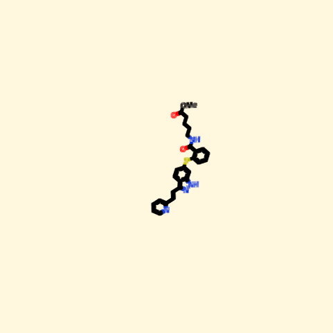 COC(=O)CCCCNC(=O)c1ccccc1Sc1ccc2c(C=Cc3ccccn3)n[nH]c2c1